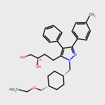 Cc1ccc(-c2nn(C[C@H]3CC[C@@H](COCC(=O)O)CC3)c(CC[C@@H](O)CO)c2-c2ccccc2)cc1